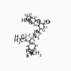 CC1(C)CCC(CN2CCN(c3ccc(C=O)c(Oc4cnc5[nH]ccc5c4)c3)CC2)=C(C2=CC=CC(C)(C(F)(F)F)C=C2)C1